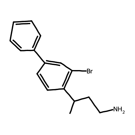 CC(CCN)c1ccc(-c2ccccc2)cc1Br